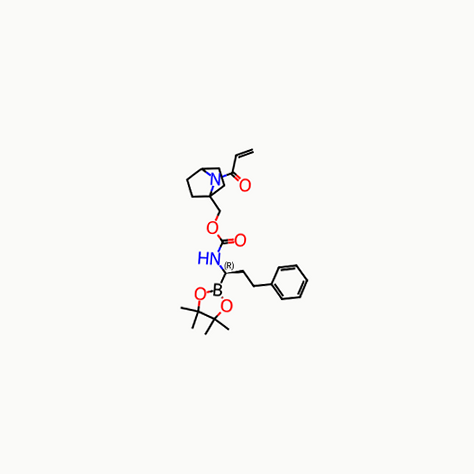 C=CC(=O)N1C2CCC1(COC(=O)N[C@@H](CCc1ccccc1)B1OC(C)(C)C(C)(C)O1)CC2